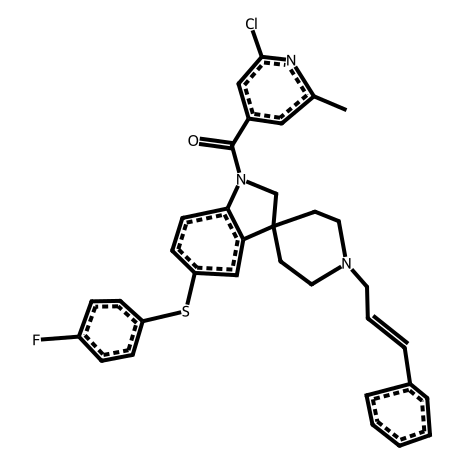 Cc1cc(C(=O)N2CC3(CCN(C/C=C/c4ccccc4)CC3)c3cc(Sc4ccc(F)cc4)ccc32)cc(Cl)n1